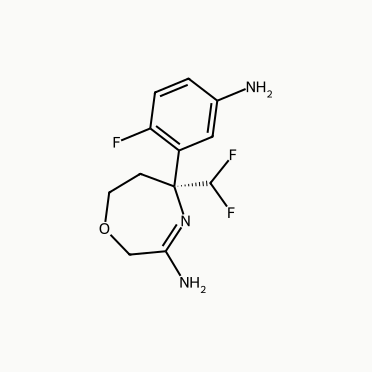 NC1=N[C@@](c2cc(N)ccc2F)(C(F)F)CCOC1